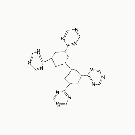 c1ncnc(C2CC(c3ncncn3)CC(C3CC(c4ncncn4)CC(c4ncncn4)C3)C2)n1